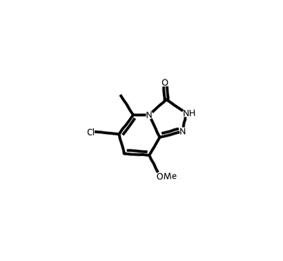 COc1cc(Cl)c(C)n2c(=O)[nH]nc12